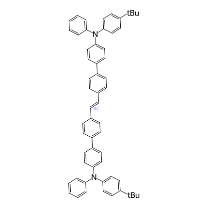 CC(C)(C)c1ccc(N(c2ccccc2)c2ccc(-c3ccc(/C=C/c4ccc(-c5ccc(N(c6ccccc6)c6ccc(C(C)(C)C)cc6)cc5)cc4)cc3)cc2)cc1